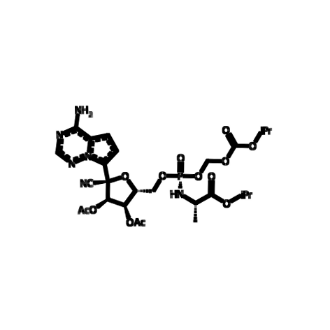 CC(=O)O[C@H]1[C@@H](OC(C)=O)[C@](C#N)(c2ccc3c(N)ncnn23)O[C@@H]1CO[P@](=O)(N[C@@H](C)C(=O)OC(C)C)OCOC(=O)OC(C)C